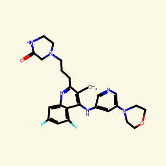 Cc1c(CCCN2CCNC(=O)C2)nc2cc(F)cc(F)c2c1Nc1cncc(N2CCOCC2)c1